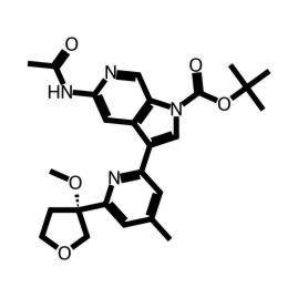 CO[C@@]1(c2cc(C)cc(-c3cn(C(=O)OC(C)(C)C)c4cnc(NC(C)=O)cc34)n2)CCOC1